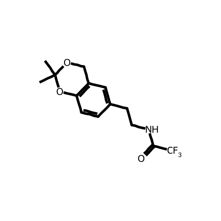 CC1(C)OCc2cc(CCNC(=O)C(F)(F)F)ccc2O1